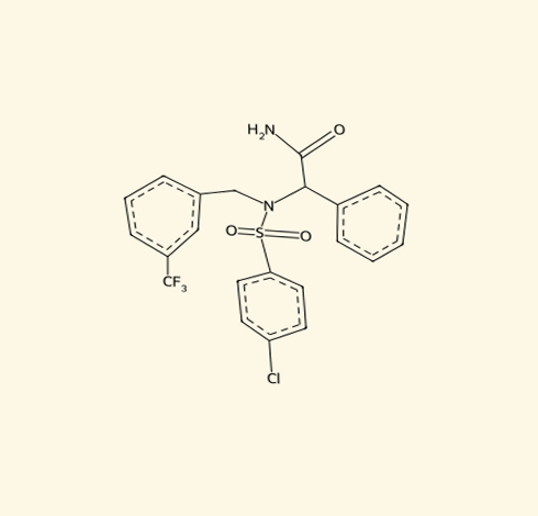 NC(=O)C(c1ccccc1)N(Cc1cccc(C(F)(F)F)c1)S(=O)(=O)c1ccc(Cl)cc1